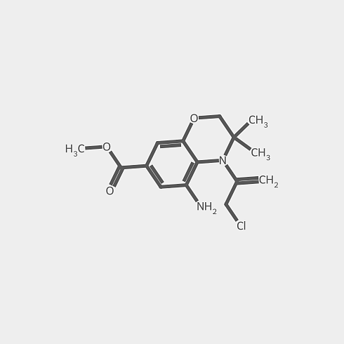 C=C(CCl)N1c2c(N)cc(C(=O)OC)cc2OCC1(C)C